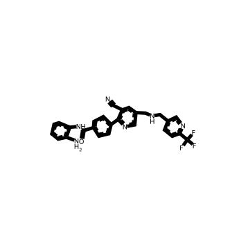 N#Cc1cc(CNCc2ccc(C(F)(F)F)nc2)cnc1-c1ccc(C(=O)Nc2ccccc2N)cc1